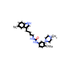 COc1ccc(NC(=O)NCCCCc2c[nH]c3ccc(C#N)cc23)cc1N1CCN(C)CC1